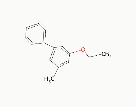 CCOc1cc(C)cc(-c2ccccc2)c1